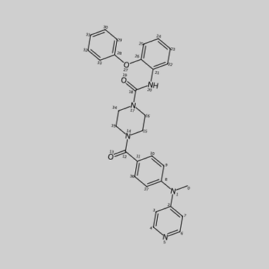 CN(c1ccncc1)c1ccc(C(=O)N2CCN(C(=O)Nc3ccccc3Oc3ccccc3)CC2)cc1